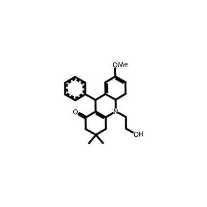 COC1=CCC2C(=C1)C(c1ccccc1)C1=C(CC(C)(C)CC1=O)N2CCO